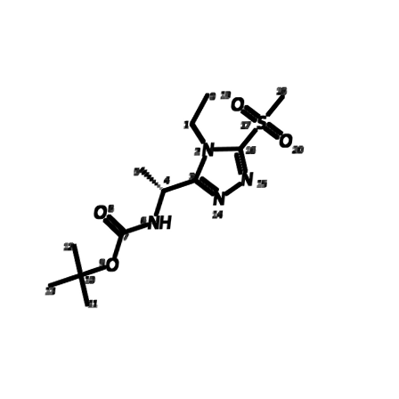 CCn1c([C@@H](C)NC(=O)OC(C)(C)C)nnc1S(C)(=O)=O